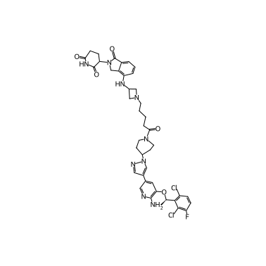 C[C@@H](Oc1cc(-c2cnn(C3CCN(C(=O)CCCCN4CC(Nc5cccc6c5CN(C5CCC(=O)NC5=O)C6=O)C4)CC3)c2)cnc1N)c1c(Cl)ccc(F)c1Cl